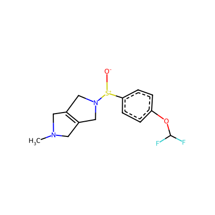 CN1CC2=C(C1)CN([S+]([O-])c1ccc(OC(F)F)cc1)C2